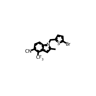 [C-]#[N+]c1ccc2c(cc(C)n2Cc2ccc(Br)s2)c1C(F)(F)F